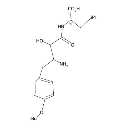 CCC(C)Oc1ccc(CC(N)C(O)C(=O)N[C@@H](CC(C)C)C(=O)O)cc1